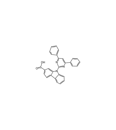 O=S(O)c1ccc2c3ccccc3n(-c3nc(-c4ccccc4)cc(-c4ccccc4)n3)c2c1